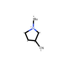 CC(C)(C)N1CCC(C#N)C1